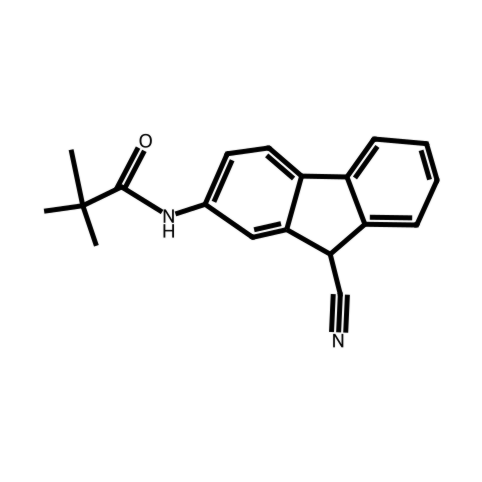 CC(C)(C)C(=O)Nc1ccc2c(c1)C(C#N)c1ccccc1-2